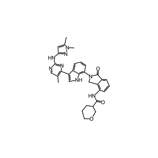 Cc1cnc(Nc2cc(C)n(C)n2)nc1-c1c[nH]c2c(N3Cc4c(NC(=O)C5CCCOC5)cccc4C3=O)cccc12